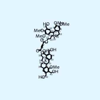 COc1cc2c(cc1OC)C(c1cc(CO)c(OC)c(OC)c1)[N+](C)(CCCOC(=O)C#CC(=O)OCCC[N+]1(C)CCc3cc(CO)c(CO)c(OC)c3C1Cc1ccc(CO)c(CO)c1)CC2